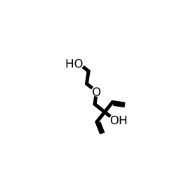 C=CC(O)(C=C)COCCO